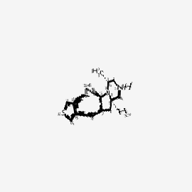 C[C@@H]1CNC[C@H]2Cc3cc4cscc4nc3N21